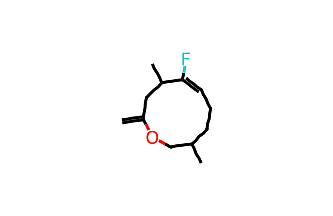 C=C1CC(C)/C(F)=C\CCC(C)CO1